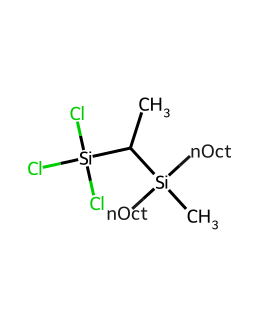 CCCCCCCC[Si](C)(CCCCCCCC)C(C)[Si](Cl)(Cl)Cl